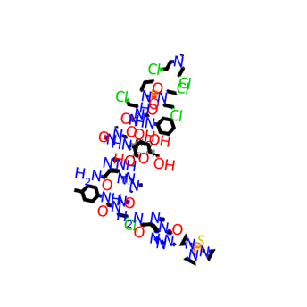 CC1CCC(NC(=O)N(CCCl)N=O)CC1.CN(C)/N=N/c1[nH]cnc1C(N)=O.CN(CCCl)CCCl.CN(N=O)C(=O)N[C@@H]1[C@@H](O)[C@H](O)[C@@H](CO)O[C@@H]1O.Cn1nnc2c(C(N)=O)ncn2c1=O.O=NN(CCCl)C(=O)NC1CCCCC1.O=P1(N(CCCl)CCCl)NCCCO1.S=P(N1CC1)(N1CC1)N1CC1